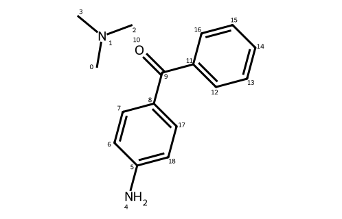 CN(C)C.Nc1ccc(C(=O)c2ccccc2)cc1